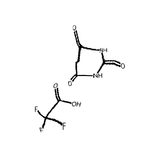 O=C(O)C(F)(F)F.O=C1CC(=O)NC(=O)N1